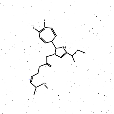 C=C(CC/C=C\N(C)NC)CN1C=C(C(C)CC)NC1C1C=CC(F)=C(F)C=C1